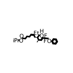 CC[C@H](O)[C@H](C/C=C\CCCC(=O)OC(C)C)[C@H](C)/C=C/C(F)(F)COc1ccccc1